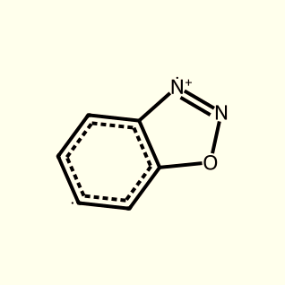 [c]1ccc2c(c1)ON=[N+]2